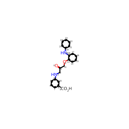 O=C(CNc1cccc(C(=O)O)c1)COc1ccccc1Nc1ccccc1